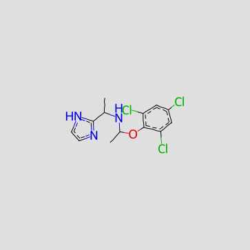 CC(NC(C)c1ncc[nH]1)Oc1c(Cl)cc(Cl)cc1Cl